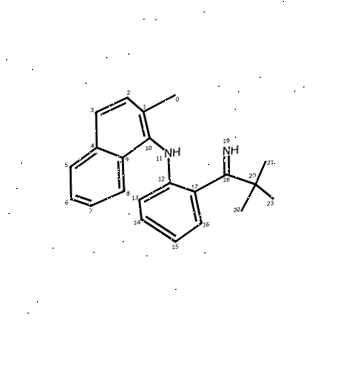 Cc1ccc2ccccc2c1Nc1ccccc1C(=N)C(C)(C)C